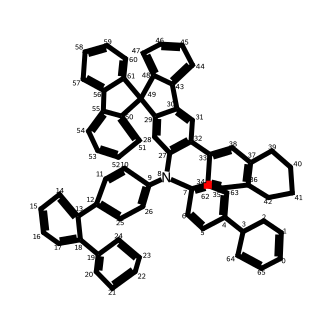 C1=CCC(c2ccc(N(c3ccc(-c4ccccc4-c4ccccc4)cc3)c3cc4c(cc3-c3ccc5c(c3)CCCC5)-c3ccccc3C43c4ccccc4-c4ccccc43)cc2)C=C1